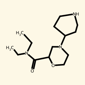 CCN(CC)C(=O)C1CN(C2CCNCC2)CCO1